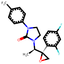 C[C@@H](N1CCN(c2ccc(C(F)(F)F)cc2)C1=O)[C@@]1(c2ccc(F)cc2F)CO1